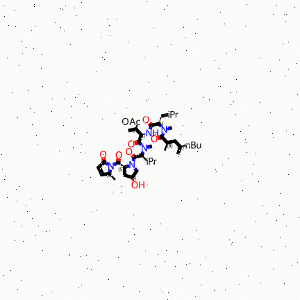 CCCC[C@@H](C)C[C@@H](C)C(=O)N(C)[C@@H](CC(C)C)C(=O)N[C@H](C(=O)N(C)[C@H](C(=O)N1C[C@@H](O)C[C@H]1C(=O)N1C(=O)C=C[C@@H]1C)C(C)C)[C@@H](C)OC(C)=O